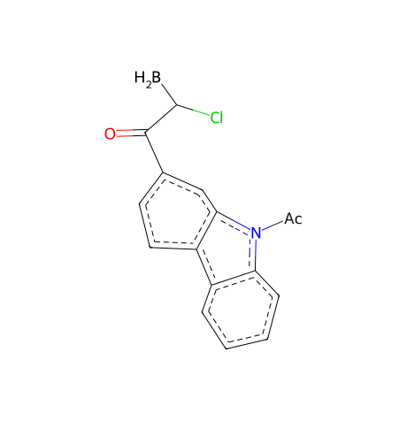 BC(Cl)C(=O)c1ccc2c3ccccc3n(C(C)=O)c2c1